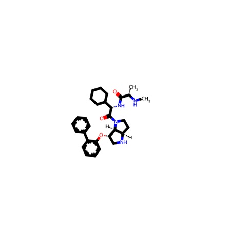 CN[C@@H](C)C(=O)N[C@H](C(=O)N1CC[C@H]2NC[C@H](Oc3ccccc3-c3ccccc3)[C@H]21)C1CCCCC1